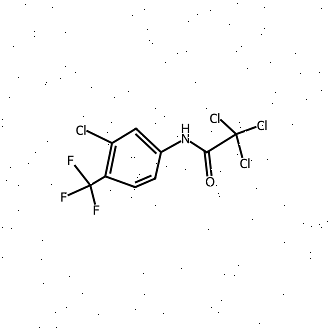 O=C(Nc1ccc(C(F)(F)F)c(Cl)c1)C(Cl)(Cl)Cl